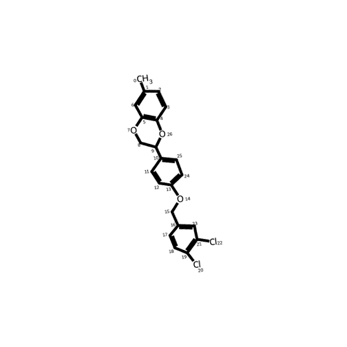 Cc1ccc2c(c1)OCC(c1ccc(OCc3ccc(Cl)c(Cl)c3)cc1)O2